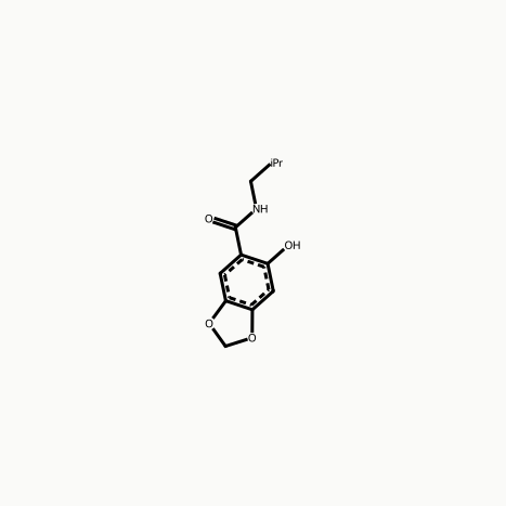 CC(C)CNC(=O)c1cc2c(cc1O)OCO2